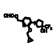 O=COCc1ccc(N2CCC(O)(C(F)(F)F)C2)c(OCC2CC2)n1